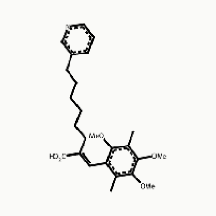 COc1c(C)c(OC)c(OC)c(C)c1/C=C(\CCCCCCc1cccnc1)C(=O)O